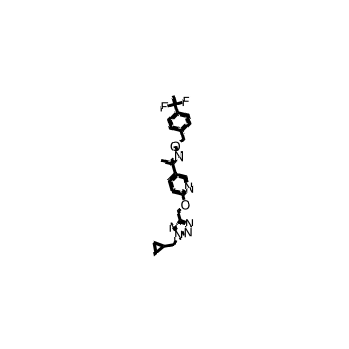 C/C(=N\OCc1ccc(C(C)(F)F)cc1)c1ccc(OCc2nnn(CC3CC3)n2)nc1